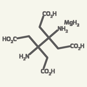 NC(CC(=O)O)(CC(=O)O)C(N)(CC(=O)O)CC(=O)O.[MgH2]